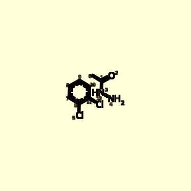 CC(=O)NN.Clc1ccccc1Cl